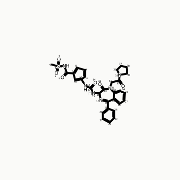 CS(=O)(=O)NC(=O)c1cccc(NC(=O)NC2N=C(c3ccccc3)c3ccccc3N(CC(=O)N3CCCC3)C2=O)c1